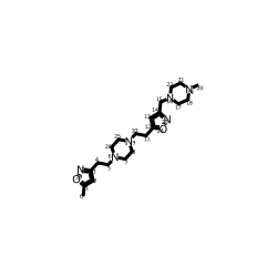 Cc1cc(CCN2CCN(CCc3cc(CN4CCN(C)CC4)no3)CC2)no1